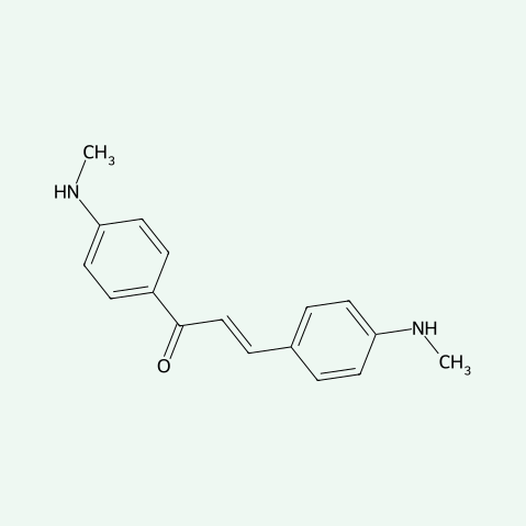 CNc1ccc(C=CC(=O)c2ccc(NC)cc2)cc1